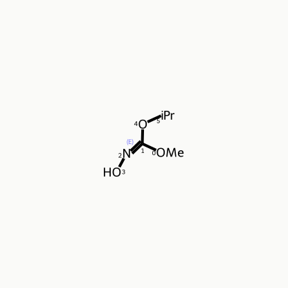 CO/C(=N\O)OC(C)C